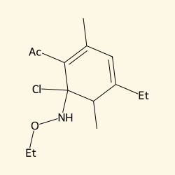 CCONC1(Cl)C(C(C)=O)=C(C)C=C(CC)C1C